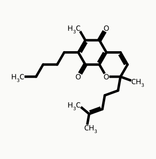 CCCCCC1=C(C)C(=O)C2=C(OC(C)(CCC=C(C)C)C=C2)C1=O